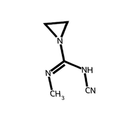 CN=C(NC#N)N1CC1